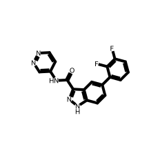 O=C(Nc1ccnnc1)c1n[nH]c2ccc(-c3cccc(F)c3F)cc12